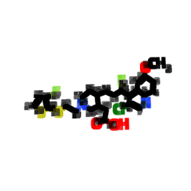 COc1ccc2ncc(Cl)c(C(F)CCC3CCN(CCSc4sccc4F)CC3CC(=O)O)c2c1